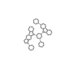 c1ccc(-c2cc(-n3c4ccccc4c4ccc(-c5ccccc5)cc43)cc(-n3c4ccccc4c4cc5ccn(-c6ccccc6)c5cc43)c2)cc1